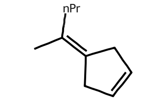 CCCC(C)=C1CC=CC1